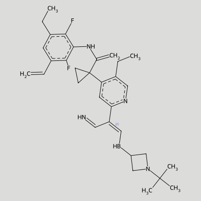 C=Cc1cc(CC)c(F)c(NC(=C)C2(c3cc(/C(C=N)=C/BC4CN(C(C)(C)C)C4)ncc3CC)CC2)c1F